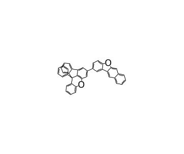 c1ccc(C23c4ccccc4Oc4cc(-c5ccc6oc7cc8ccccc8cc7c6c5)cc(c42)-c2ccccc23)cc1